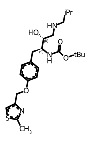 Cc1nc(COc2ccc(C[C@H](NC(=O)OC(C)(C)C)[C@H](O)CNCC(C)C)cc2)cs1